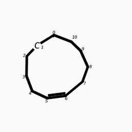 [CH]1CCCCC=CCCCC1